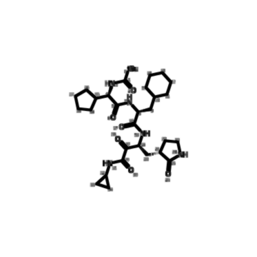 CC(C)(C)C(=O)N[C@@H](C(=O)N[C@@H](CC1CCCCC1)C(=O)N[C@@H](C[C@@H]1CCNC1=O)C(=O)C(=O)NC1CC1)C1CCCC1